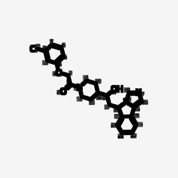 O=C(COc1cccc(Cl)c1)N1CCC(C(O)CC2c3ccccc3-c3cncn32)CC1